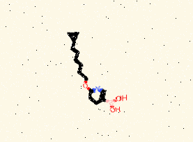 OB(O)c1ccc(OCCCCCCC2CC2)nc1